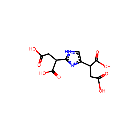 O=C(O)CC(C(=O)O)c1c[nH]c(C(CC(=O)O)C(=O)O)n1